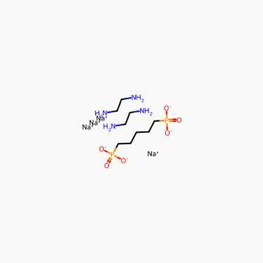 NCCN.NCCN.O=P([O-])([O-])CCCCCP(=O)([O-])[O-].[Na+].[Na+].[Na+].[Na+]